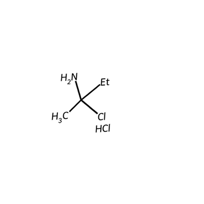 CCC(C)(N)Cl.Cl